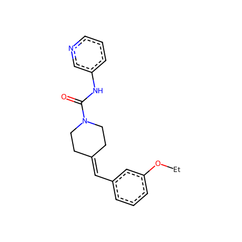 CCOc1cccc(C=C2CCN(C(=O)Nc3cccnc3)CC2)c1